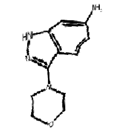 Nc1ccc2c(N3CCOCC3)n[nH]c2c1